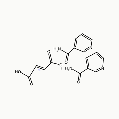 NC(=O)c1cccnc1.NC(=O)c1cccnc1.O=C(O)/C=C/C(=O)O